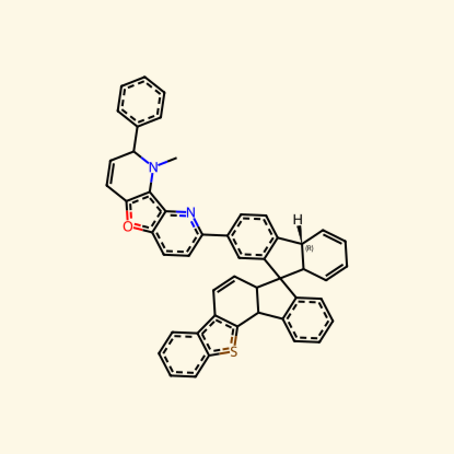 CN1c2c(oc3ccc(-c4ccc5c(c4)C4(c6ccccc6C6c7sc8ccccc8c7C=CC64)C4C=CC=C[C@@H]54)nc23)C=CC1c1ccccc1